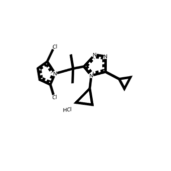 CC(C)(c1nnc(C2CC2)n1C1CC1)n1c(Cl)ccc1Cl.Cl